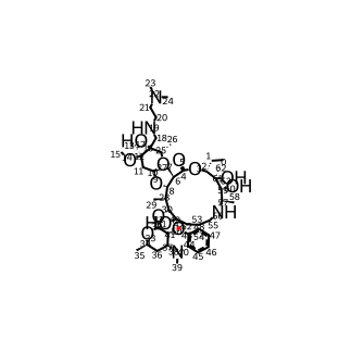 CC[C@H]1OC(=O)[C@H](C)[C@@H](O[C@H]2C[C@@](C)(OC)[C@](O)(CNCCN(C)C)[C@H](C)O2)[C@H](C)[C@@H](O[C@@H]2O[C@H](C)C[C@H](N(C)C)[C@H]2Oc2ccccc2)[C@](C)(O)C[C@@H](C)CN[C@H](C)[C@@H](O)[C@]1(C)O